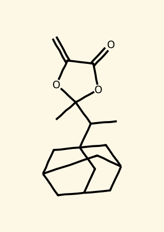 C=C1OC(C)(C(C)C23CC4CC(CC(C4)C2)C3)OC1=O